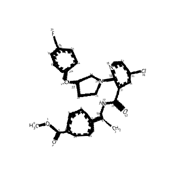 COC(=O)c1ccc([C@H](C)NC(=O)c2cc(Cl)cnc2N2CCC(Oc3ccc(F)cc3)C2)cc1